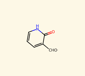 O=[C]c1ccc[nH]c1=O